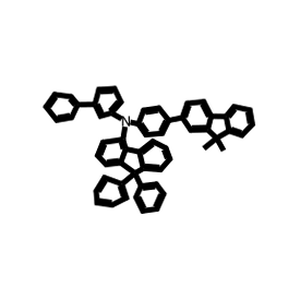 CC1(C)c2ccccc2-c2ccc(-c3ccc(N(c4cccc(-c5ccccc5)c4)c4cccc5c4-c4ccccc4C5(c4ccccc4)c4ccccc4)cc3)cc21